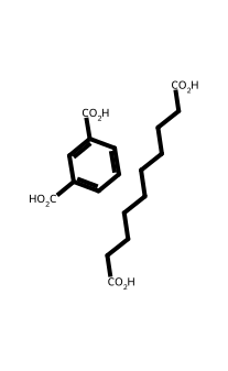 O=C(O)CCCCCCCCC(=O)O.O=C(O)c1cccc(C(=O)O)c1